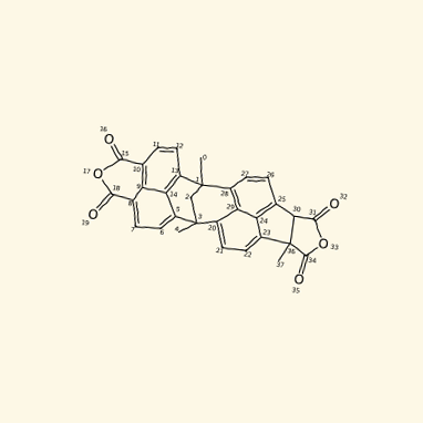 CC12CC(C)(c3ccc4c5c(ccc1c35)C(=O)OC4=O)c1ccc3c4c(ccc2c14)C1C(=O)OC(=O)C31C